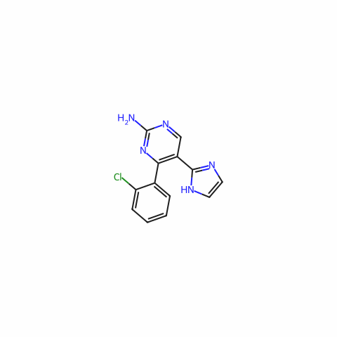 Nc1ncc(-c2ncc[nH]2)c(-c2ccccc2Cl)n1